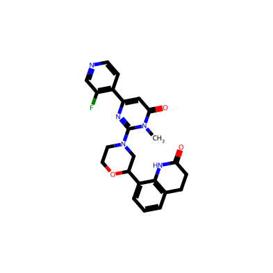 Cn1c(N2CCOC(c3cccc4c3NC(=O)CC4)C2)nc(-c2ccncc2F)cc1=O